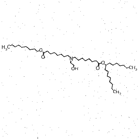 CCCCCCCCCOC(=O)CCCCCCCN(CCO)CCCCCCCC(=O)OC(CCCCCCC)CCCCCCCC